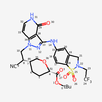 CC(C)(C)OC(=O)[C@@H]1CC[C@H](C(C#N)Cn2nc(Nc3ccc4c(c3)CN(CC(F)(F)F)S4(=O)=O)c3c(=O)[nH]ccc32)CO1